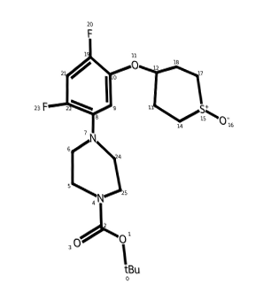 CC(C)(C)OC(=O)N1CCN(c2cc(OC3CC[S+]([O-])CC3)c(F)cc2F)CC1